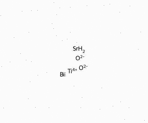 [Bi].[O-2].[O-2].[SrH2].[Ti+4]